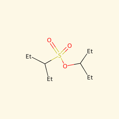 CCC(CC)OS(=O)(=O)C(CC)CC